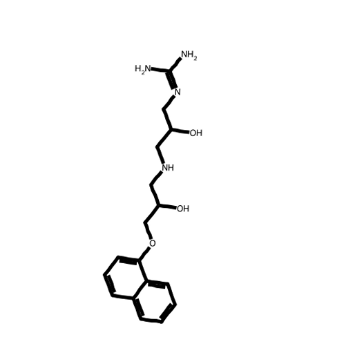 NC(N)=NCC(O)CNCC(O)COc1cccc2ccccc12